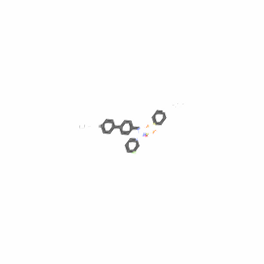 COc1ccc(-c2ccc(CN(C(=O)S(=O)(=O)c3ccc(OC)cc3)c3cccc(F)c3)cc2)cc1